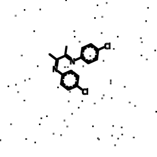 CC(=Nc1ccc(Cl)cc1)C(C)=Nc1ccc(Cl)cc1